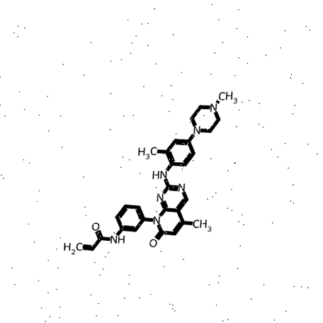 C=CC(=O)Nc1cccc(-n2c(=O)cc(C)c3cnc(Nc4ccc(N5CCN(C)CC5)cc4C)nc32)c1